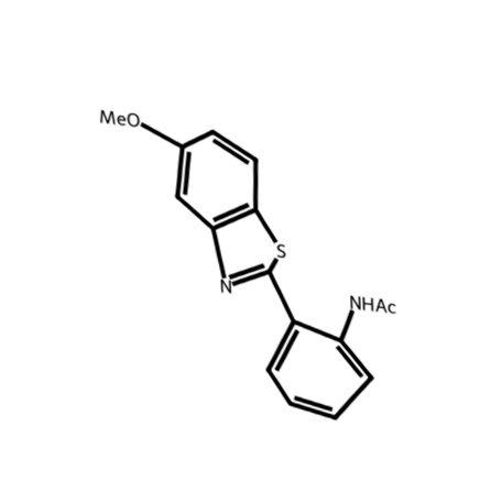 COc1ccc2sc(-c3ccccc3NC(C)=O)nc2c1